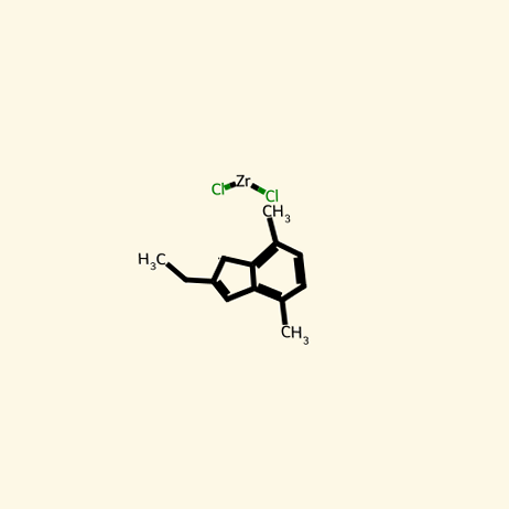 CCC1=Cc2c(C)ccc(C)c2[CH]1.[Cl][Zr][Cl]